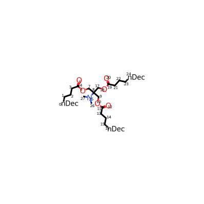 CCCCCCCCCCCCCC(=O)OCC(COC(=O)CCCCCCCCCCCCC)(COC(=O)CCCCCCCCCCCCC)N(C)C